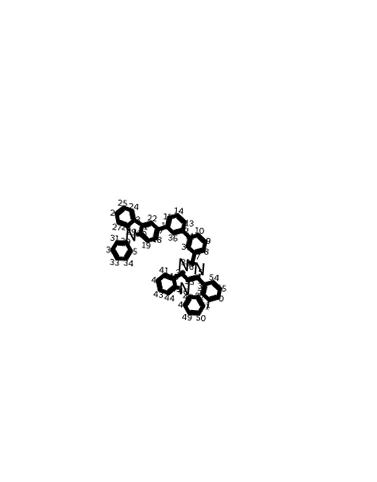 c1ccc(-c2nc(-c3cccc(-c4cccc(-c5ccc6c(c5)c5ccccc5n6-c5ccccc5)c4)c3)nc3c4ccccc4n(-c4ccccc4)c23)cc1